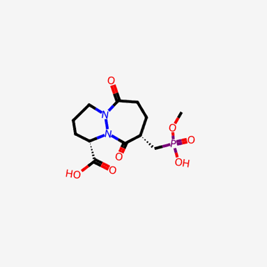 COP(=O)(O)C[C@H]1CCC(=O)N2CCC[C@@H](C(=O)O)N2C1=O